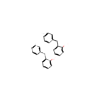 Oc1ccccc1Cc1ccccc1.Oc1ccccc1Cc1ccccc1.[Cu]